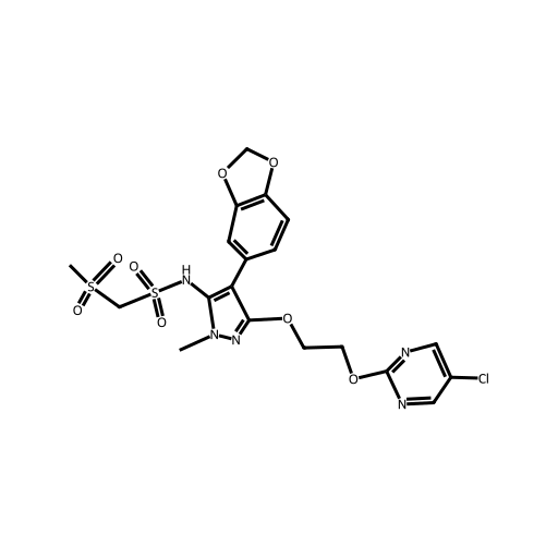 Cn1nc(OCCOc2ncc(Cl)cn2)c(-c2ccc3c(c2)OCO3)c1NS(=O)(=O)CS(C)(=O)=O